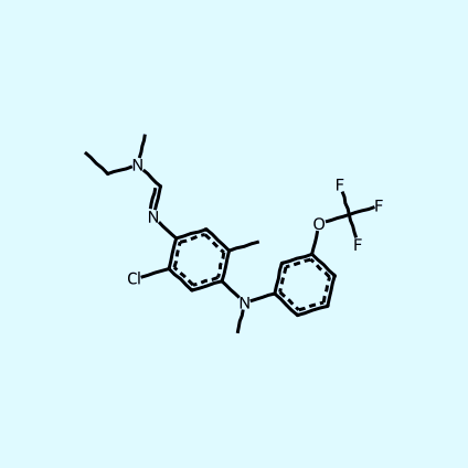 CCN(C)C=Nc1cc(C)c(N(C)c2cccc(OC(F)(F)F)c2)cc1Cl